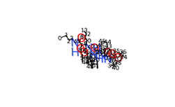 CCCCNC(=O)C(=O)C(CCCC)NC(=O)[C@@H]1[C@@H]2[C@H](CN1C(=O)[C@@H](NC(=O)N[C@H](C(=O)OC(C)(C)C)C(C)(C)C)C1CCCCC1)C2(C)C